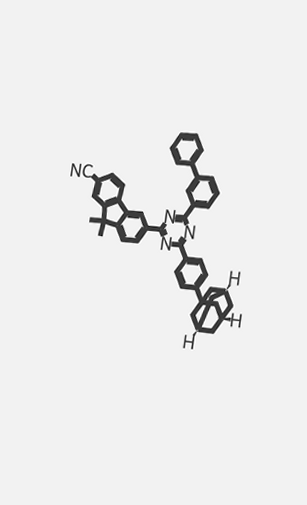 CC1(C)c2ccc(-c3nc(-c4ccc(C56C[C@H]7C[C@@H](C5)C[C@@H](C6)C7)cc4)nc(-c4cccc(-c5ccccc5)c4)n3)cc2-c2ccc(C#N)cc21